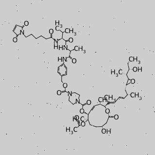 CC[C@H](O)[C@@H](C)[C@H]1O[C@@H]1C[C@H](C)/C=C/C=C(\C)[C@H]1OC(=O)C[C@H](O)CC[C@@](C)(OC(C)=O)[C@@H](OC(=O)N2CCN(C(=O)OCc3ccc(NC(=O)[C@H](C)NC(=O)[C@@H](NC(=O)CCCCCN4C(=O)C=CC4=O)C(C)C)cc3)CC2)/C=C/[C@@H]1C